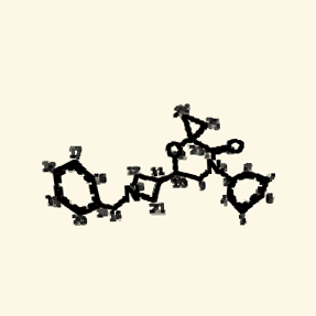 O=C1N(c2ccccc2)C[C@@H](C2CN(Cc3ccccc3)C2)OC12CC2